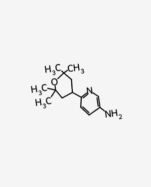 CC1(C)CC(c2ccc(N)cn2)CC(C)(C)O1